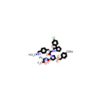 COc1ccc(CS(=O)(=O)[C@@H]2C[C@@H](C(=O)N[C@H](C(=O)C(F)(F)F)C(C)C)N(C(=O)[C@H](Cc3ccc(CNC(=O)O)cc3)NC(=O)C3(c4ccc(Cl)cc4)CCCC3)C2)cc1